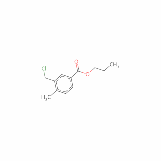 CCCOC(=O)c1ccc(C)c(CCl)c1